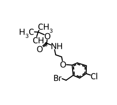 CC(C)(C)OC(=O)NCCOc1ccc(Cl)cc1CBr